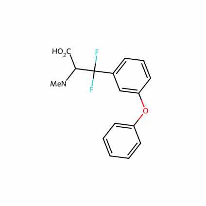 CNC(C(=O)O)C(F)(F)c1cccc(Oc2ccccc2)c1